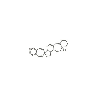 O[C@]12CCCCC1=CC1=CCC3C(CCC34C=Cc3ccncc3C=C4)C1CC2